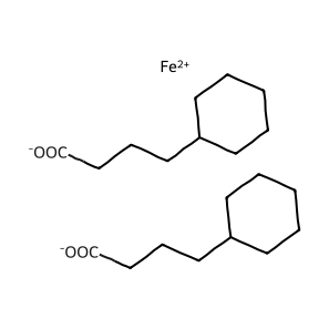 O=C([O-])CCCC1CCCCC1.O=C([O-])CCCC1CCCCC1.[Fe+2]